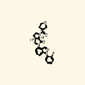 O=C1[C@H]2[C@H](CCN2C(=O)[C@@H]2CCOC2)CN1c1cccc2c1cnn2-c1ccccc1F